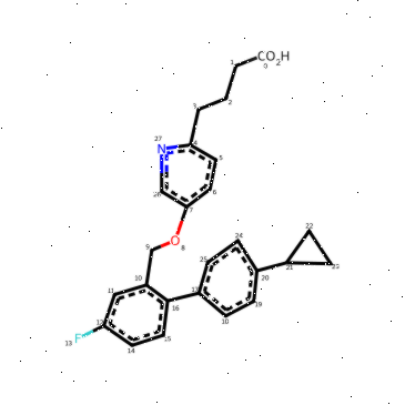 O=C(O)CCCc1ccc(OCc2cc(F)ccc2-c2ccc(C3CC3)cc2)cn1